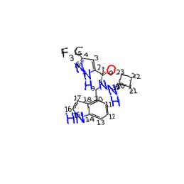 O=C(c1cc(C(F)(F)F)n[nH]1)N(Cc1cccc2[nH]ccc12)NC1CCC1